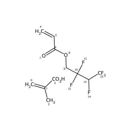 C=C(C)C(=O)O.C=CC(=O)OCC(F)(F)C(F)C(F)(F)F